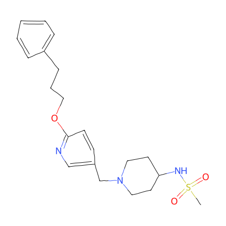 CS(=O)(=O)NC1CCN(Cc2ccc(OCCCc3ccccc3)nc2)CC1